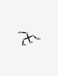 CCCCO[C](CCC)(OCCCC)[Sn][CH2]CCC